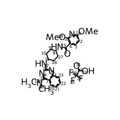 COc1ccc(C(=O)N[C@H]2CC[C@@H](Nc3nc(N(C)C)c4ccccc4n3)CC2)c(OC)n1.O=C(O)C(F)(F)F